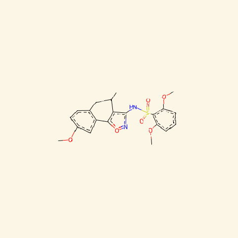 COc1ccc2c(c1)-c1onc(NS(=O)(=O)c3c(OC)cccc3OC)c1C(C)C2